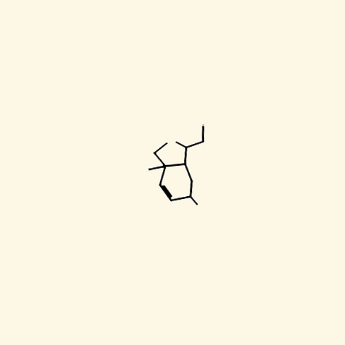 CCC1OCC2(C)C=CC(C)CC12